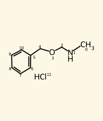 CNCOCc1ccccc1.Cl